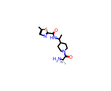 Cc1cnc(C(=O)NC(C)C2CCN(C(=O)[C@H](C)N)CC2)s1